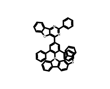 c1ccc(-c2nc(-c3cc(-c4ccccc4)c(-n4c5ccccc5c5ccc6sc7ccccc7c6c54)c(-c4ccccc4)c3)c3oc4ccccc4c3n2)cc1